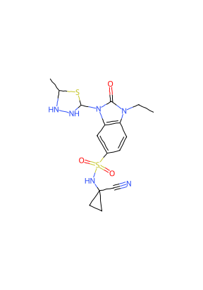 CCn1c(=O)n(C2NNC(C)S2)c2cc(S(=O)(=O)NC3(C#N)CC3)ccc21